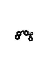 O=C(N1CCCC1)N1CCN(Cc2ccc3ccccc3c2)CC1